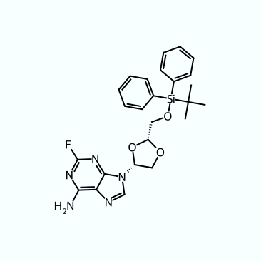 CC(C)(C)[Si](OC[C@@H]1OC[C@H](n2cnc3c(N)nc(F)nc32)O1)(c1ccccc1)c1ccccc1